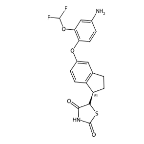 Nc1ccc(Oc2ccc3c(c2)CC[C@H]3C2SC(=O)NC2=O)c(OC(F)F)c1